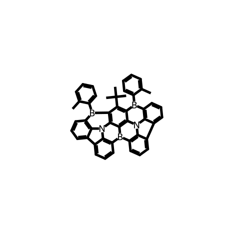 Cc1ccccc1B1c2c3c4c5c(c2C(C)(C)C)B(c2ccccc2C)c2cccc6c7cccc(c7n-5c26)B4c2cccc4c5cccc1c5n-3c24